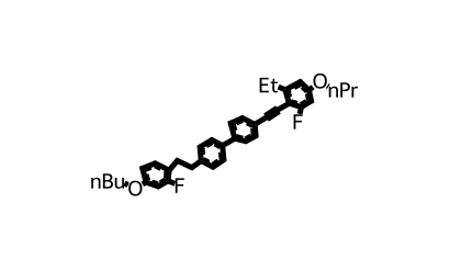 CCCCOc1ccc(CCc2ccc(-c3ccc(C#Cc4c(F)cc(OCCC)cc4CC)cc3)cc2)c(F)c1